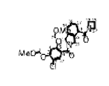 COCOc1cc(OCOC)c(C(=O)N2Cc3cccc(C(=O)N4CCC4)c3C2)cc1Cl